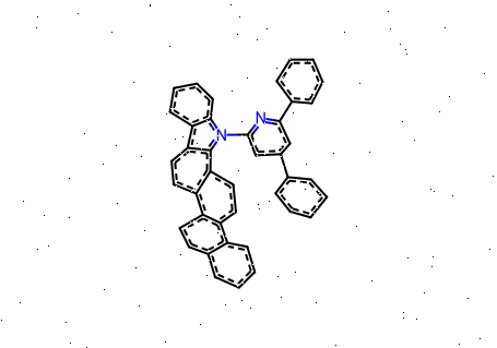 c1ccc(-c2cc(-c3ccccc3)nc(-n3c4ccccc4c4ccc5c6ccc7ccccc7c6ccc5c43)c2)cc1